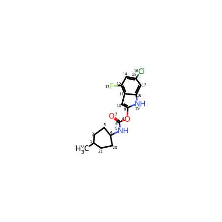 CC1CCC(NC(=O)Oc2cc3c(F)cc(Cl)cc3[nH]2)CC1